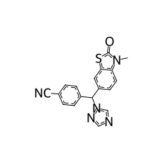 Cn1c(=O)sc2cc(C(c3ccc(C#N)cc3)n3cncn3)ccc21